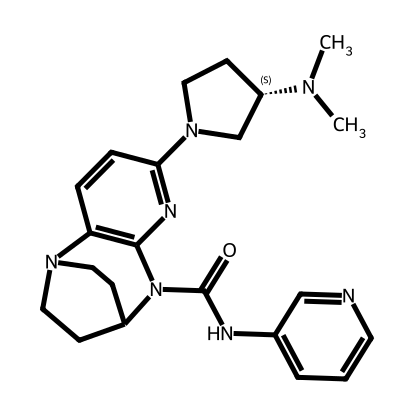 CN(C)[C@H]1CCN(c2ccc3c(n2)N(C(=O)Nc2cccnc2)C2CCN3CC2)C1